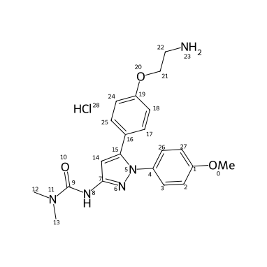 COc1ccc(-n2nc(NC(=O)N(C)C)cc2-c2ccc(OCCN)cc2)cc1.Cl